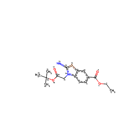 CCOC(=O)c1ccc2c(c1)sc(=N)n2CC(=O)OC(C)(C)C